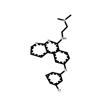 CN(C)CCNc1nc2ncccc2c2cc(Oc3cccc(Cl)c3)ccc12